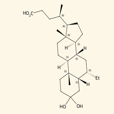 CC[C@H]1C[C@@H]2[C@H](CC[C@]3(C)[C@@H]([C@H](C)CCC(=O)O)CC[C@@H]23)[C@@]2(C)CCC(O)(O)C[C@@H]12